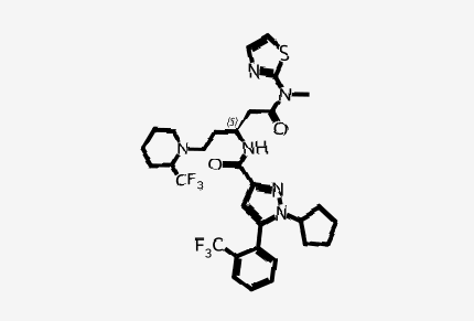 CN(C(=O)C[C@H](CCN1CCCCC1C(F)(F)F)NC(=O)c1cc(-c2ccccc2C(F)(F)F)n(C2CCCC2)n1)c1nccs1